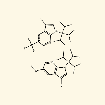 CC(C)[Si](C(C)C)(C(C)C)n1cc(I)c2cc(C(F)(F)F)cnc21.COc1cnc2c(c1)c(I)cn2[Si](C(C)C)(C(C)C)C(C)C